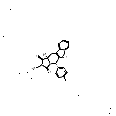 CCCCN1C(=O)[C@@H]2Cc3c([nH]c4ccccc34)[C@H](c3ccc(F)cc3)N2C1=O